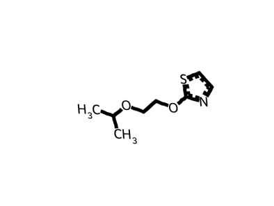 CC(C)OCCOc1nccs1